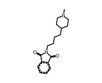 CN1CCC(CCCCN2C(=O)c3ccccc3C2=O)CC1